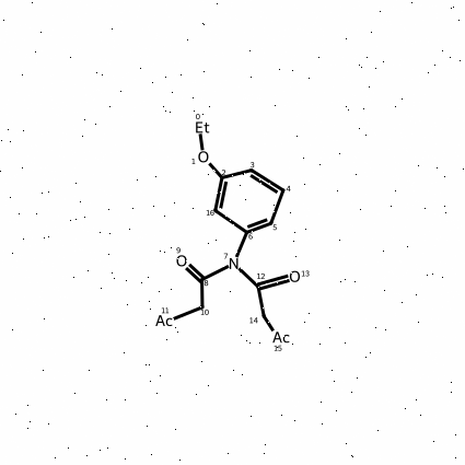 CCOc1cccc(N(C(=O)CC(C)=O)C(=O)CC(C)=O)c1